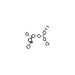 c1ccc(-n2ccc3c4c5cc(-c6ccc(N(c7ccc(-c8ccncc8)cc7)c7ccc(-c8ncccn8)cc7)cc6)ccc5n(-c5ccccc5)c4ccc32)cc1